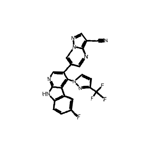 N#Cc1cnn2cc(-c3cnc4[nH]c5ccc(F)cc5c4c3-n3ccc(C(F)(F)F)n3)cnc12